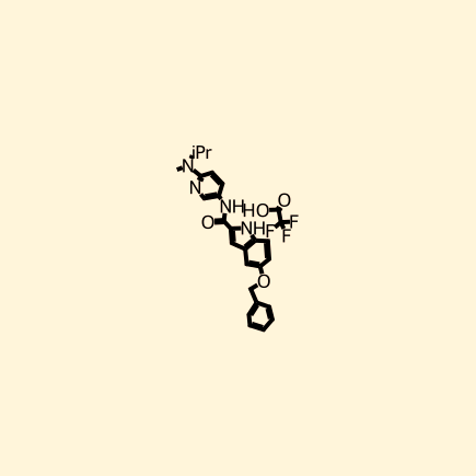 CC(C)N(C)c1ccc(NC(=O)c2cc3cc(OCc4ccccc4)ccc3[nH]2)cn1.O=C(O)C(F)(F)F